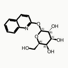 OC[C@H]1O[C@@H](Oc2ccc3ccccc3n2)[C@H](O)[C@@H](O)[C@H]1O